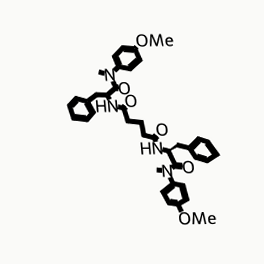 COc1ccc(N(C)C(=O)C(Cc2ccccc2)NC(=O)CCCC(=O)N[C@@H](Cc2ccccc2)C(=O)N(C)c2ccc(OC)cc2)cc1